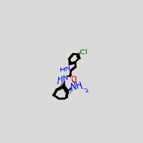 N[C@H]1CCCC[C@H]1NC(=O)c1cc2cc(Cl)ccc2[nH]1